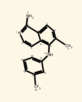 Cc1ccc2c(N)nccc2c1Nc1cccc(C(F)(F)F)c1